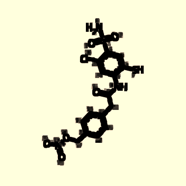 NS(=O)(=O)c1cc(S)c(NC(=O)Cc2ccc(CO[N+](=O)[O-])cc2)cc1Cl